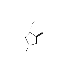 CN1CC(=O)[C@@H](NC(C)(C)C)C1